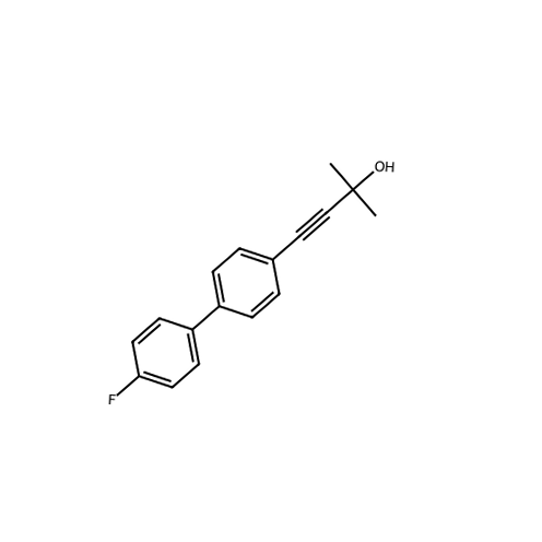 CC(C)(O)C#Cc1ccc(-c2ccc(F)cc2)cc1